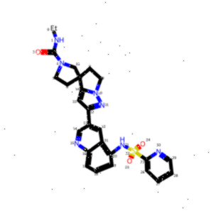 CCNC(=O)N1CCC2(CCn3nc(-c4cnc5cccc(NS(=O)(=O)c6ccccn6)c5c4)cc32)C1